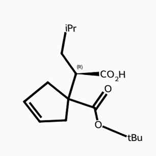 CC(C)C[C@@H](C(=O)O)C1(C(=O)OC(C)(C)C)CC=CC1